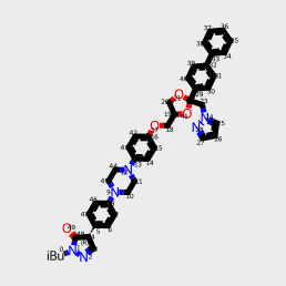 CCC(C)N1N=C[C@@H](c2ccc(N3CCN(c4ccc(OCC5COC(Cn6cccn6)(c6ccc(-c7ccccc7)cc6)O5)cc4)CC3)cc2)C1=O